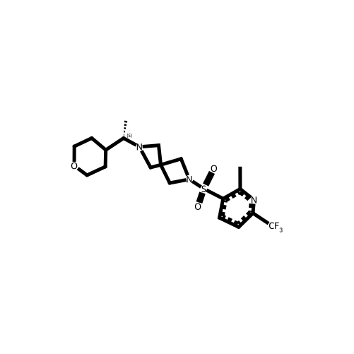 Cc1nc(C(F)(F)F)ccc1S(=O)(=O)N1CC2(CN([C@@H](C)C3CCOCC3)C2)C1